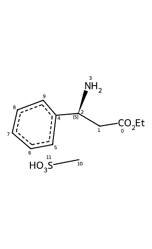 CCOC(=O)C[C@H](N)c1ccccc1.CS(=O)(=O)O